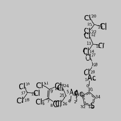 CC(C)=O.CC(C)=O.CC(C)=O.ClC(Cl)=C(Cl)Cl.ClC(Cl)Cl.ClC(Cl)Cl.ClC(Cl)Cl.ClCCl.ClCCl.c1ccsc1